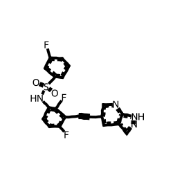 O=S(=O)(Nc1ccc(F)c(C#Cc2cnc3[nH]ncc3c2)c1F)c1cccc(F)c1